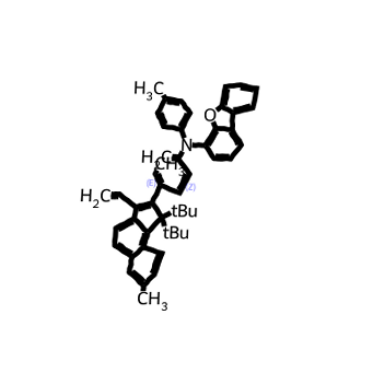 C=CC1=C(C(/C=C\C(=C)N(c2ccc(C)cc2)c2cccc3c2oc2ccccc23)=C/C)C(C(C)(C)C)(C(C)(C)C)c2c1ccc1cc(C)ccc21